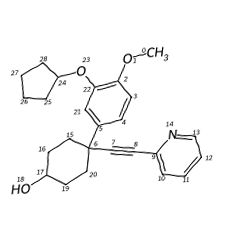 COc1ccc(C2(C#Cc3ccccn3)CCC(O)CC2)cc1OC1CCCC1